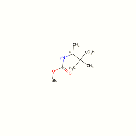 C[C@@H](NC(=O)OC(C)(C)C)C(C)(C)C(=O)O